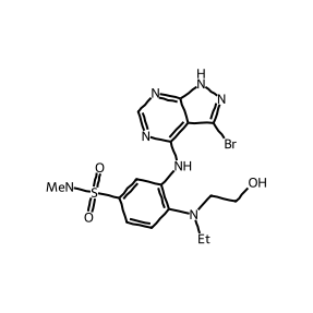 CCN(CCO)c1ccc(S(=O)(=O)NC)cc1Nc1ncnc2[nH]nc(Br)c12